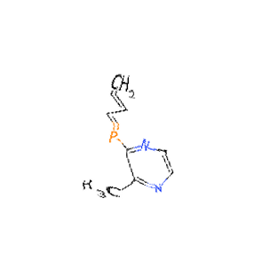 C=C/C=P\c1nccnc1C